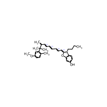 C=C(/C=C/C=C/C=C/C=C1\Oc2cc(O)ccc2N1CCCC)C(C)(C)c1cc(OC)ccc1C